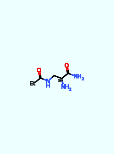 CCC(=O)NC[C@H](N)C(N)=O